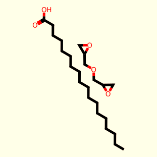 C(OCC1CO1)C1CO1.CCCCCCCCCCCCCCCCCC(=O)O